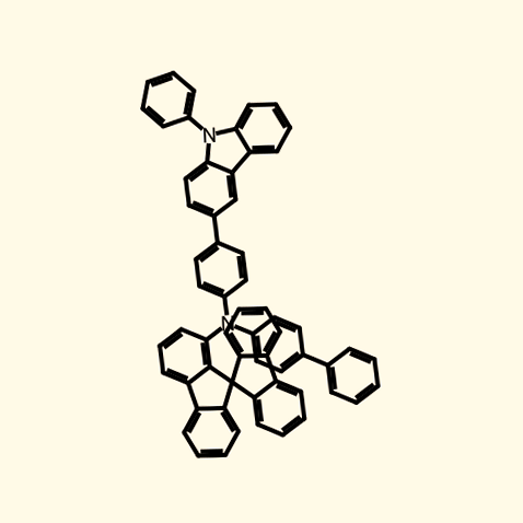 c1ccc(-c2ccc(N(c3ccc(-c4ccc5c(c4)c4ccccc4n5-c4ccccc4)cc3)c3cccc4c3C3(c5ccccc5-c5ccccc53)c3ccccc3-4)cc2)cc1